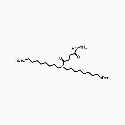 CCCCCCCCCCCCCCCCCCN(CCCCCCCCCCCCCCCCCC)C(=O)CCC(=O)NN